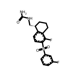 NC(=O)NC[C@@H]1CCCc2c1ccc(S(=O)(=O)c1cccc(F)c1)c2F